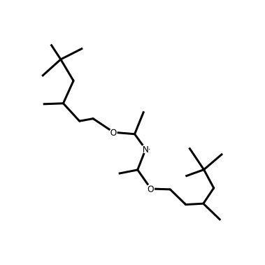 CC(CCOC(C)[N]C(C)OCCC(C)CC(C)(C)C)CC(C)(C)C